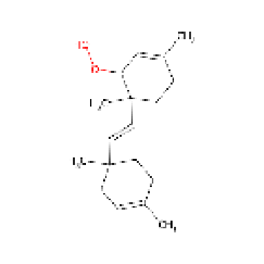 CC1=CCC(C)(C=CC2(C)CCC(C)=CC2OO)CC1